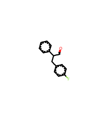 O=[C]C(Cc1ccc(F)cc1)c1ccccc1